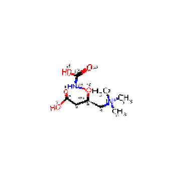 C[N+](C)(C)C[C@@H](CC(=O)O)ONC(=O)O